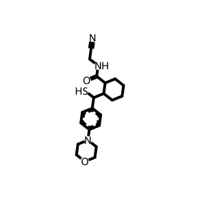 N#CCNC(=O)C1CCCCC1C(S)c1ccc(N2CCOCC2)cc1